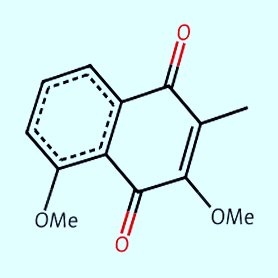 COC1=C(C)C(=O)c2cccc(OC)c2C1=O